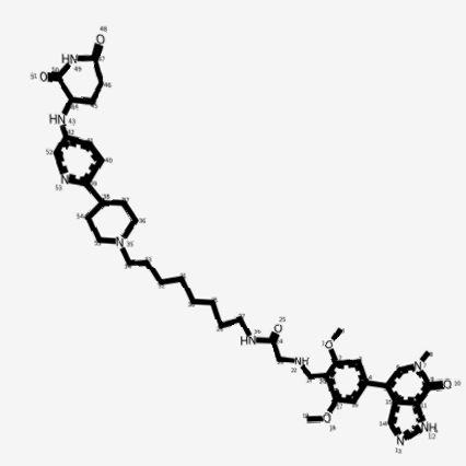 COc1cc(-c2cn(C)c(=O)c3[nH]ncc23)cc(OC)c1CNCC(=O)NCCCCCCCCN1CCC(c2ccc(NC3CCC(=O)NC3=O)cn2)CC1